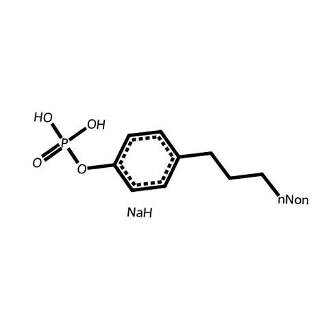 CCCCCCCCCCCCc1ccc(OP(=O)(O)O)cc1.[NaH]